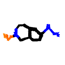 NNc1ccc2c(c1)CCN(P)C2